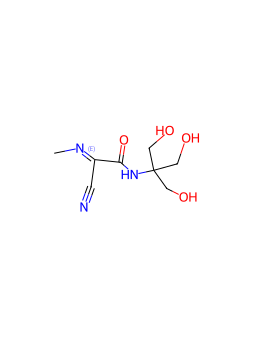 C/N=C(\C#N)C(=O)NC(CO)(CO)CO